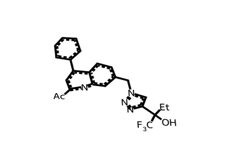 CCC(O)(c1cn(Cc2ccc3c(-c4ccccc4)cc(C(C)=O)nc3c2)nn1)C(F)(F)F